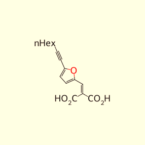 CCCCCCC#Cc1ccc(C=C(C(=O)O)C(=O)O)o1